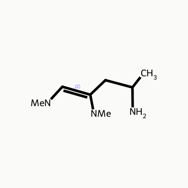 CN/C=C(/CC(C)N)NC